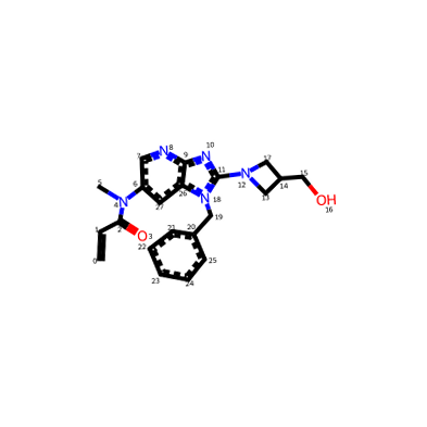 C=CC(=O)N(C)c1cnc2nc(N3CC(CO)C3)n(Cc3ccccc3)c2c1